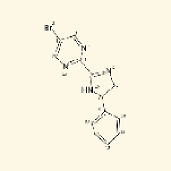 Brc1cnc(C2=NCC(c3ccccc3)N2)nc1